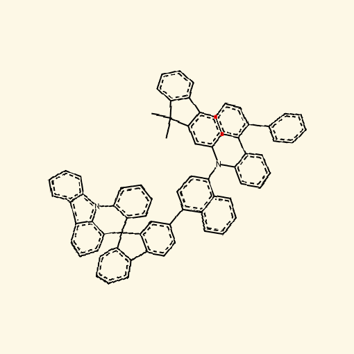 CC1(C)c2ccccc2-c2ccc(N(c3ccccc3-c3ccccc3-c3ccccc3)c3ccc(-c4ccc5c(c4)C4(c6ccccc6-5)c5ccccc5-n5c6ccccc6c6cccc4c65)c4ccccc34)cc21